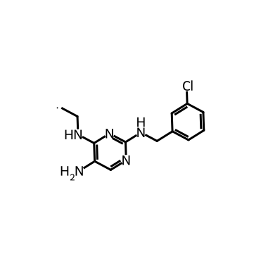 [CH2]CNc1nc(NCc2cccc(Cl)c2)ncc1N